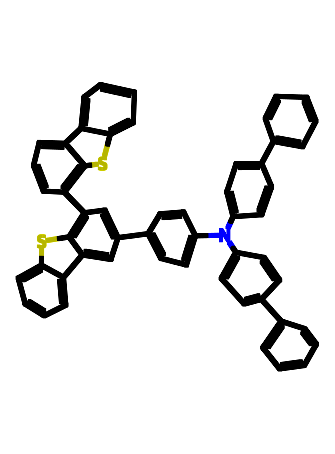 c1ccc(-c2ccc(N(c3ccc(-c4ccccc4)cc3)c3ccc(-c4cc(-c5cccc6c5sc5ccccc56)c5sc6ccccc6c5c4)cc3)cc2)cc1